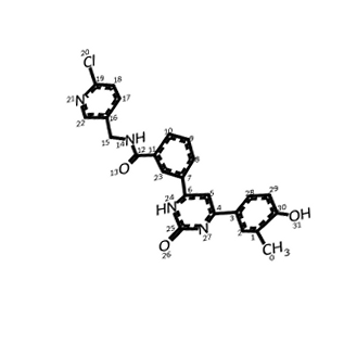 Cc1cc(-c2cc(-c3cccc(C(=O)NCc4ccc(Cl)nc4)c3)[nH]c(=O)n2)ccc1O